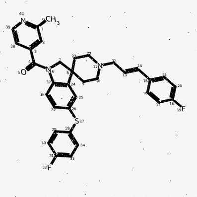 Cc1cc(C(=O)N2CC3(CCN(CC=Cc4ccc(F)cc4)CC3)c3cc(Sc4ccc(F)cc4)ccc32)ccn1